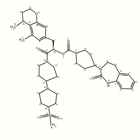 Cc1cc(C[C@@H](OC(=O)N2CCC(N3CCc4ccccc4NC3=O)CC2)C(=O)N2CCC(N3CCN(S(C)(=O)=O)CC3)CC2)cc2c1N(C)CCO2